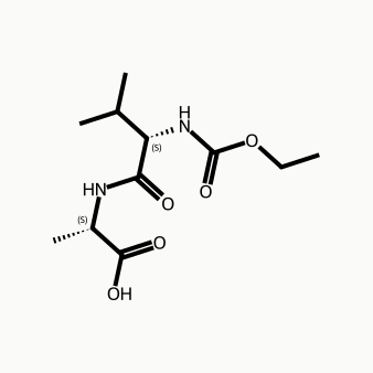 CCOC(=O)N[C@H](C(=O)N[C@@H](C)C(=O)O)C(C)C